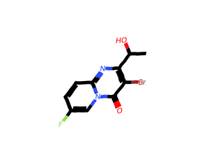 CC(O)c1nc2ccc(F)cn2c(=O)c1Br